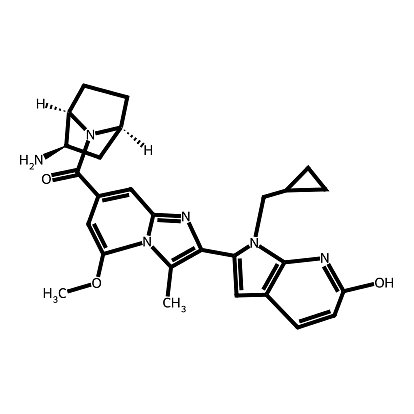 COc1cc(C(=O)N2[C@H]3CC[C@@H]2[C@H](N)C3)cc2nc(-c3cc4ccc(O)nc4n3CC3CC3)c(C)n12